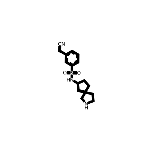 N#CCc1cccc(S(=O)(=O)NC2CCC3(CCNC3)C2)c1